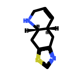 C1=C[C@@H]2Cc3ncsc3C[C@H]2NC1